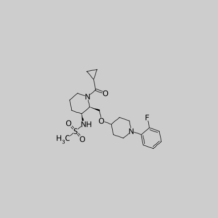 CS(=O)(=O)N[C@H]1CCCN(C(=O)C2CC2)[C@H]1COC1CCN(c2ccccc2F)CC1